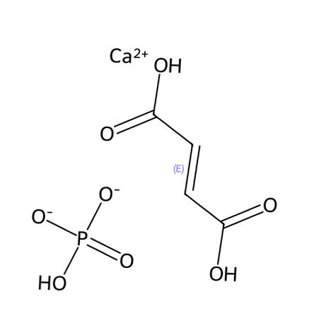 O=C(O)/C=C/C(=O)O.O=P([O-])([O-])O.[Ca+2]